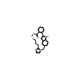 CCCCc1nccn1Cc1ccc2[nH]c(-c3ccccc3C(=O)OC)cc2c1